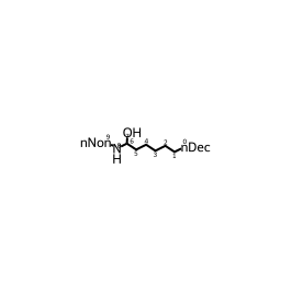 CCCCCCCCCCCCCCCC(O)NCCCCCCCCC